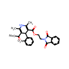 COC(=O)C1=C(C)NC(C)=C(C(=O)OCCN2C(=O)c3ccccc3C2=O)C1c1ccccc1[N+](=O)[O-]